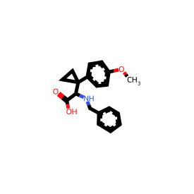 COc1ccc(C2(C(NCc3ccccc3)C(=O)O)CC2)cc1